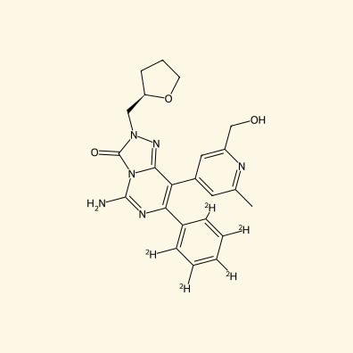 [2H]c1c([2H])c([2H])c(-c2nc(N)n3c(=O)n(C[C@H]4CCCO4)nc3c2-c2cc(C)nc(CO)c2)c([2H])c1[2H]